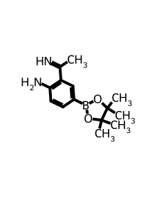 CC(=N)c1cc(B2OC(C)(C)C(C)(C)O2)ccc1N